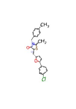 C=c1s/c(=C\c2ccc(-c3ccc(Cl)cc3)o2)c(=O)n1Cc1ccc(C)cc1